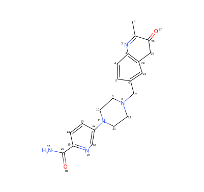 CC1=Nc2ccc(CN3CCN(c4ccc(C(N)=O)nc4)CC3)cc2CC1=O